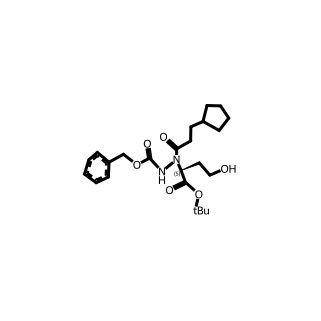 CC(C)(C)OC(=O)[C@H](CCO)N(NC(=O)OCc1ccccc1)C(=O)CCC1CCCC1